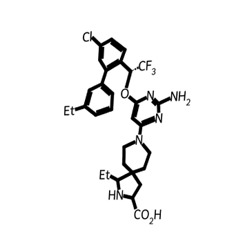 CCc1cccc(-c2cc(Cl)ccc2[C@@H](Oc2cc(N3CCC4(CC3)CC(C(=O)O)NC4CC)nc(N)n2)C(F)(F)F)c1